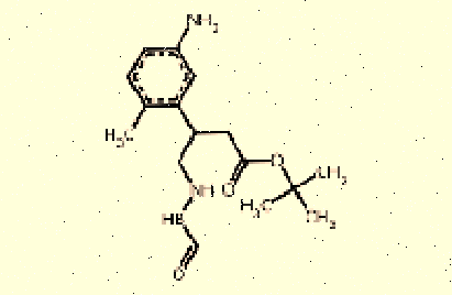 Cc1ccc(N)cc1C(CNBC=O)CC(=O)OC(C)(C)C